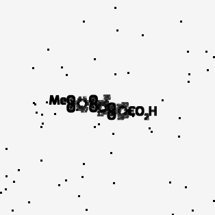 COC(=O)[C@H]1CC[C@H](C(=O)Oc2ccc(OC(=O)[C@H]3CC[C@H](C(=O)O)CC3)c(C)c2)CC1